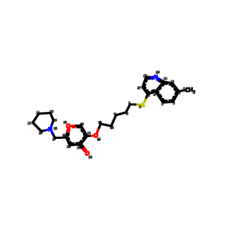 Cc1ccc2c(SCCCCCOc3coc(CN4CCCCC4)cc3=O)ccnc2c1